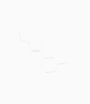 Cn1c(-c2cccc([N+](=O)[O-])c2)cs/c1=N\N